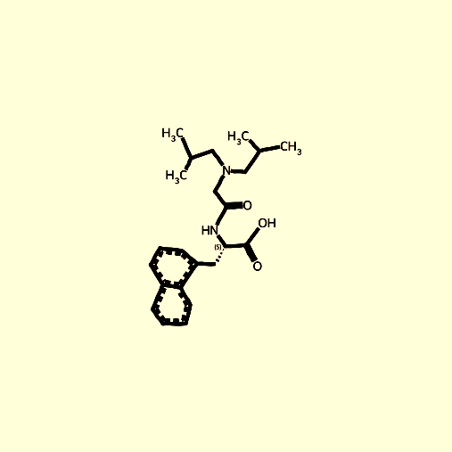 CC(C)CN(CC(=O)N[C@@H](Cc1cccc2ccccc12)C(=O)O)CC(C)C